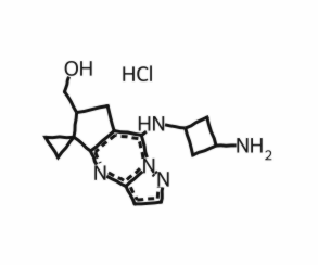 Cl.NC1CC(Nc2c3c(nc4ccnn24)C2(CC2)C(CO)C3)C1